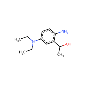 CCN(CC)c1ccc(N)c(C(C)O)c1